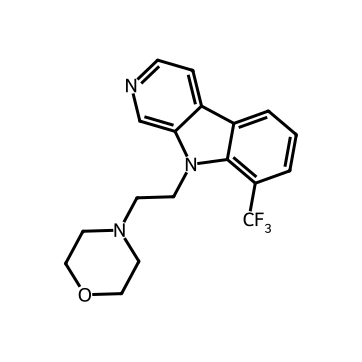 FC(F)(F)c1cccc2c3ccncc3n(CCN3CCOCC3)c12